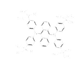 C[Si](C)(C)c1ccc(N(c2ccc([Si](C)(C)C)cc2)c2c3ccccc3c(N(c3ccc([Si](C)(C)C)cc3)c3ccc([Si](C)(C)C)cc3)c3ccccc23)cc1